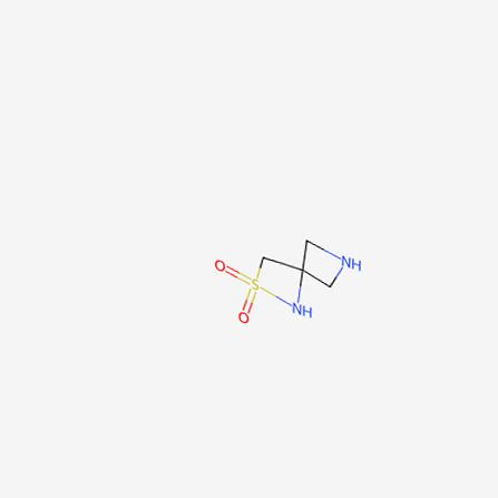 O=S1(=O)CC2(CNC2)N1